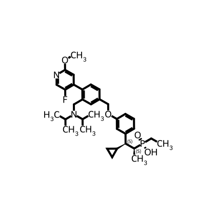 CCP(=O)(O)[C@@H](C)[C@H](c1cccc(OCc2ccc(-c3cc(OC)ncc3F)c(CN(C(C)C)C(C)C)c2)c1)C1CC1